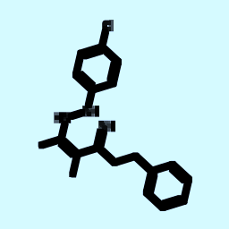 CC(NNc1ccc(Cl)cc1)=C(C)C(=N)CCc1ccccc1